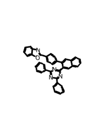 c1ccc(-c2nc(-c3ccccc3)nc(-c3cc4ccccc4cc3-c3ccc(-c4nc5ccccc5o4)cc3)n2)cc1